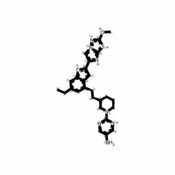 Bc1cnc(N2CCCC(CCc3cc(CC)cc4oc(-c5cn6nc(OC)sc6n5)cc34)C2)nc1